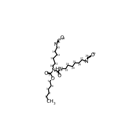 CCCCCCOC(=O)N(CCCCCCN=C=O)C(=O)NCCCCCCN=C=O